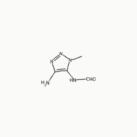 Cn1nnc(N)c1NC=O